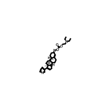 CCN(CC)CCOC(=O)ON=C1C=C2CC[C@H]3[C@H](CC[C@]4(C)C(c5cccnc5)=CC[C@@H]34)[C@@]2(C)CC1